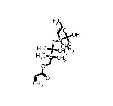 C=CC(=O)OC[Si](C)(C)C(C)(C)O[Si](C)(CCC(F)(F)F)C(C)(C)O